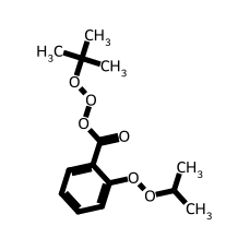 CC(C)OOc1ccccc1C(=O)OOOC(C)(C)C